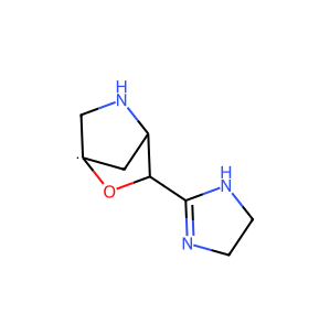 C1CNC(C2O[C]3CNC2C3)=N1